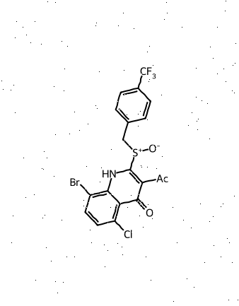 CC(=O)c1c([S+]([O-])Cc2ccc(C(F)(F)F)cc2)[nH]c2c(Br)ccc(Cl)c2c1=O